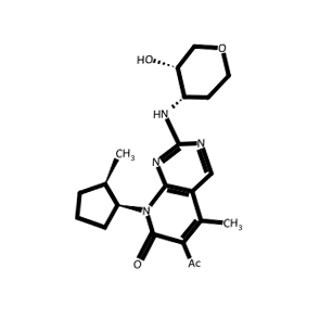 CC(=O)c1c(C)c2cnc(N[C@H]3CCOC[C@H]3O)nc2n([C@H]2CCC[C@H]2C)c1=O